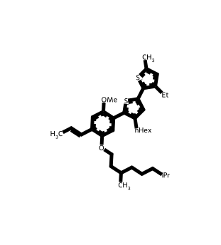 CC=Cc1cc(OC)c(-c2sc(-c3sc(C)cc3CC)cc2CCCCCC)cc1OCCC(C)CCCC(C)C